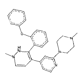 CN1CCN(c2cc(C3=C(c4ccccc4Oc4ccccc4)NN(C)C=C3)ccn2)CC1